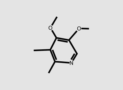 COc1cnc(C)c(C)c1OC